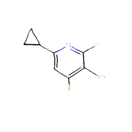 CC(C)c1c(F)cc(C2CC2)nc1Br